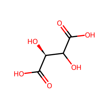 O=C(O)C(O)[C@H](O)C(=O)O